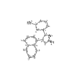 CCCc1cccc(-c2n[nH]cc2-c2ccnc3ccccc23)n1